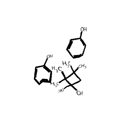 CC1(C)CC(O)(O)C1(C)C.Oc1ccccc1.Oc1ccccc1